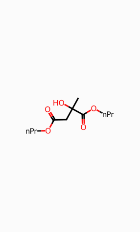 CCCOC(=O)CC(C)(O)C(=O)OCCC